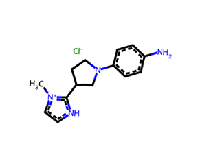 C[n+]1cc[nH]c1C1CCN(c2ccc(N)cc2)C1.[Cl-]